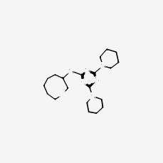 C1CCCC(Nc2nc(N3CCCCC3)nc(N3CCCCC3)n2)CCC1